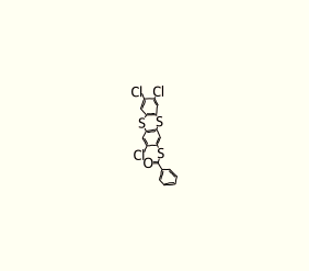 O=C(Sc1cc2c(cc1Cl)Sc1cc(Cl)c(Cl)cc1S2)c1ccccc1